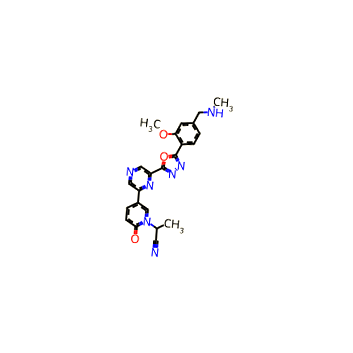 CNCc1ccc(-c2nnc(-c3cncc(-c4ccc(=O)n(C(C)C#N)c4)n3)o2)c(OC)c1